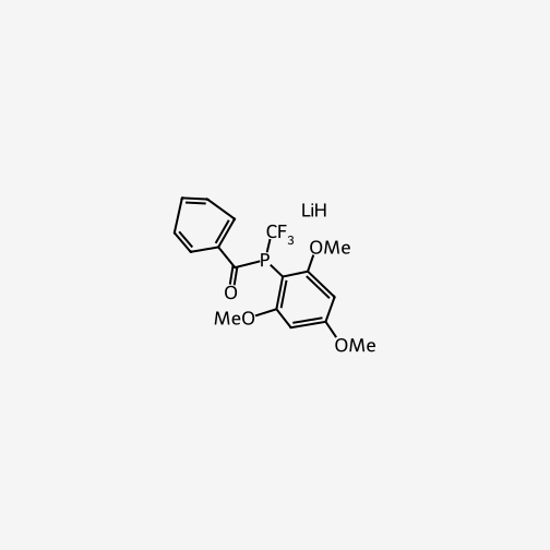 COc1cc(OC)c(P(C(=O)c2ccccc2)C(F)(F)F)c(OC)c1.[LiH]